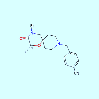 CCN1CC2(CCN(Cc3ccc(C#N)cc3)CC2)O[C@H](C)C1=O